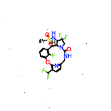 CC(C)S(=O)(=O)N[C@@H]1[C@@H]2Cc3cccc(c3F)Oc3nc(ccc3C(F)F)CNC(=O)N2CC1(F)F